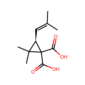 CC(C)=C[C@@H]1C(C)(C)C1(C(=O)O)C(=O)O